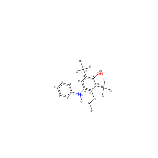 CCCc1c(N(C)c2ccccc2)cc(C(C)(C)C)c(O)c1C(C)(C)C